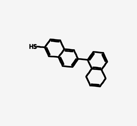 Sc1ccc2cc(-c3cccc4c3CC=CC4)ccc2c1